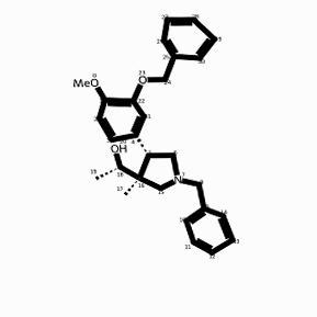 COc1ccc([C@@H]2CN(Cc3ccccc3)C[C@@]2(C)[C@H](C)O)cc1OCc1ccccc1